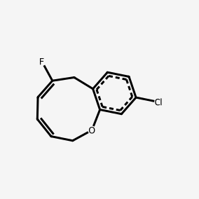 F/C1=C/C=C\COc2cc(Cl)ccc2C1